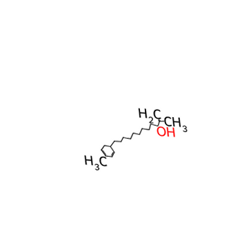 C=C(C)C(O)CCCCCCCCCC1C=CC(C)=CC1